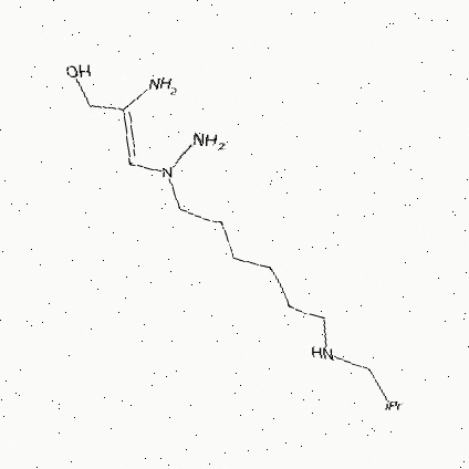 CC(C)CNCCCCCCN(N)/C=C(\N)CO